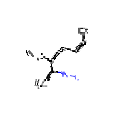 C=C(N)/C(C)=C\C=C/CC